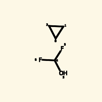 C1CC1.OC(F)F